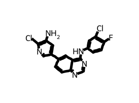 Nc1cc(-c2ccc3ncnc(Nc4ccc(F)c(Cl)c4)c3c2)cnc1Cl